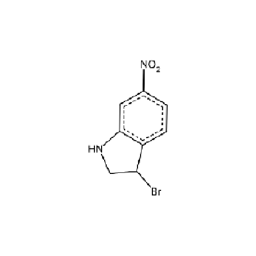 O=[N+]([O-])c1ccc2c(c1)NCC2Br